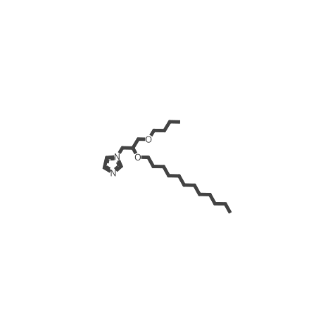 CCCCCCCCCCCCOC(COCCCC)Cn1ccnc1